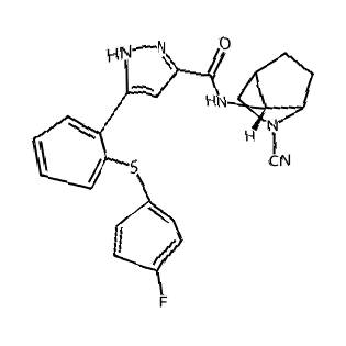 N#CN1CC2CCC1[C@@H]2NC(=O)c1cc(-c2ccccc2Sc2ccc(F)cc2)[nH]n1